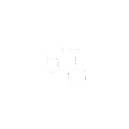 Cc1n[nH]c(-c2ncccc2C2CC2)c1C=O